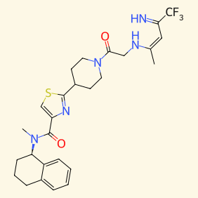 C/C(=C/C(=N)C(F)(F)F)NCC(=O)N1CCC(c2nc(C(=O)N(C)[C@@H]3CCCc4ccccc43)cs2)CC1